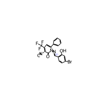 [C-]#[N+]c1c(C(F)(F)F)cc(-c2ccccc2)n(/N=C/c2ccc(Br)cc2O)c1=O